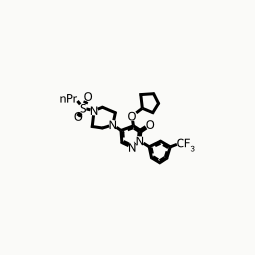 CCCS(=O)(=O)N1CCN(c2cnn(-c3cccc(C(F)(F)F)c3)c(=O)c2OC2CCCC2)CC1